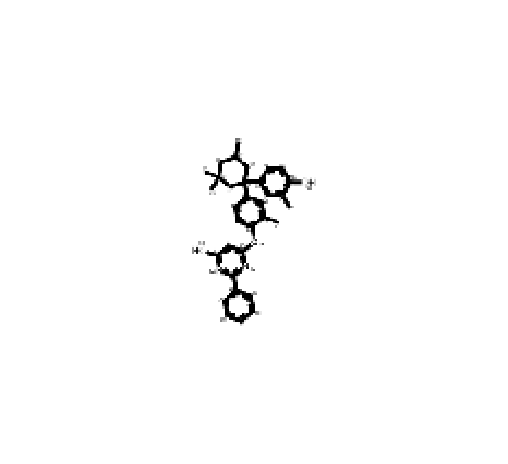 Cc1cc(C2(c3ccc(Oc4cc(O)nc(-c5ccccc5)n4)c(C)c3)CC(C)CC(C)(C)C2)ccc1O